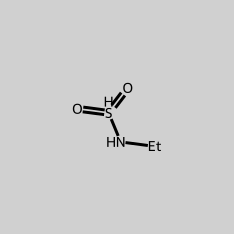 CCN[SH](=O)=O